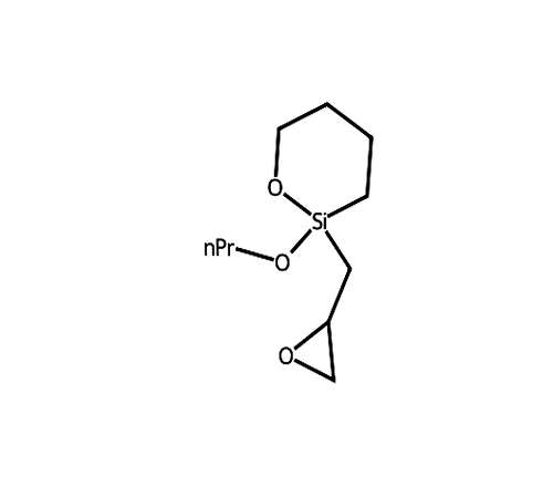 CCCO[Si]1(CC2CO2)CCCCO1